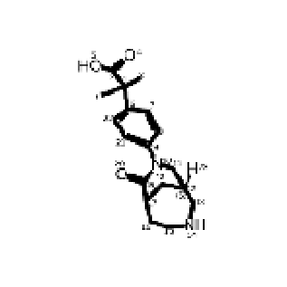 CC(C)(C(=O)O)c1ccc(N2C[C@@H]3CNCCC(C3)C2=O)cc1